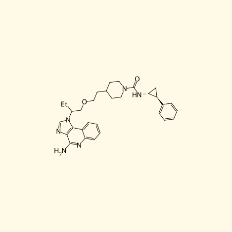 CCC(COCCC1CCN(C(=O)N[C@@H]2C[C@H]2c2ccccc2)CC1)n1cnc2c(N)nc3ccccc3c21